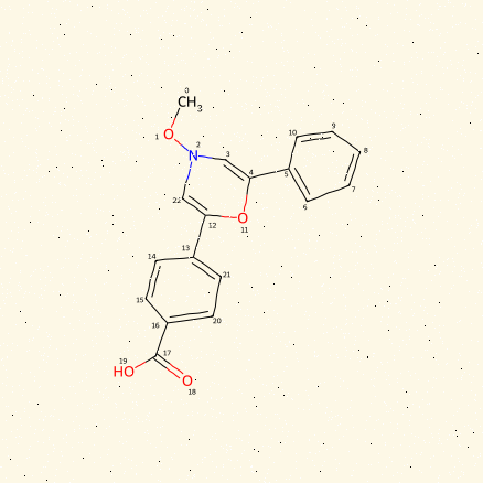 CON1C=C(c2ccccc2)OC(c2ccc(C(=O)O)cc2)=C1